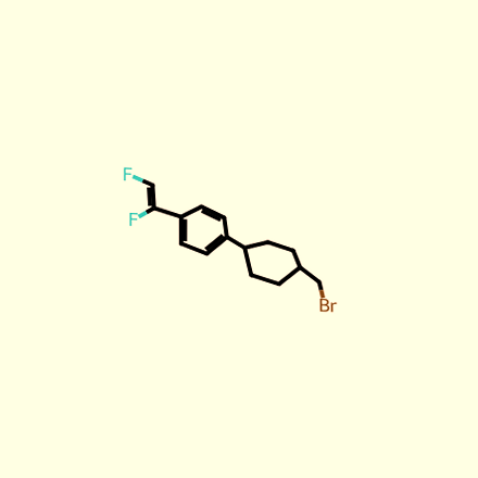 FC=C(F)c1ccc(C2CCC(CBr)CC2)cc1